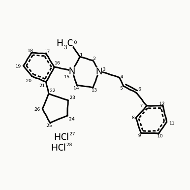 CC1CN(CC=Cc2ccccc2)CCN1c1ccccc1C1CCCC1.Cl.Cl